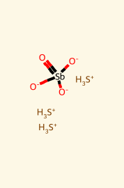 [O]=[Sb]([O-])([O-])[O-].[SH3+].[SH3+].[SH3+]